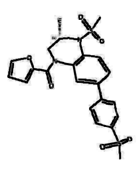 C[C@H]1CN(C(=O)c2ccco2)c2cc(-c3ccc(S(C)(=O)=O)cc3)ccc2N1S(C)(=O)=O